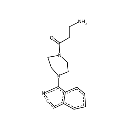 NCCC(=O)N1CCN(c2nccc3ccccc23)CC1